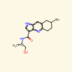 C[C@H](CO)NC(=O)c1c[nH]c2cc3c(nc12)CCC(C(C)(C)C)C3